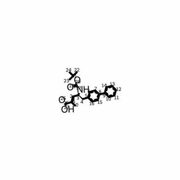 C/C(=C\[C@H](Cc1ccc(-c2ccccc2)cc1)NC(=O)OC(C)(C)C)C(=O)O